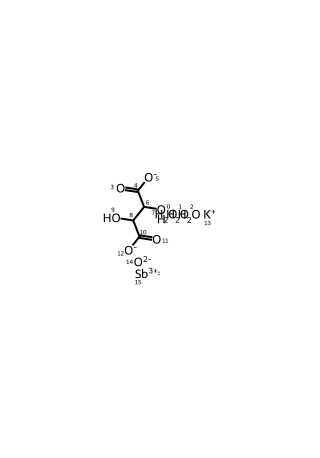 O.O.O.O=C([O-])C(O)C(O)C(=O)[O-].[K+].[O-2].[Sb+3]